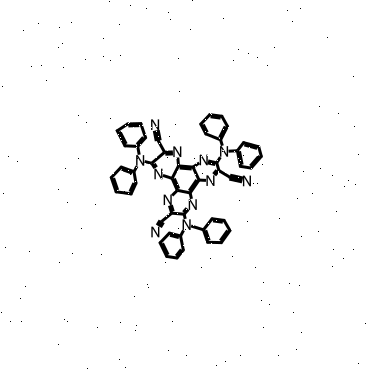 N#Cc1nc2c(nc1N(c1ccccc1)c1ccccc1)c1nc(C#N)c(N(c3ccccc3)c3ccccc3)nc1c1nc(C#N)c(N(c3ccccc3)c3ccccc3)nc21